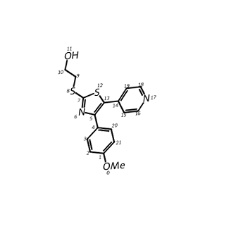 COc1ccc(-c2nc(SCCO)sc2-c2ccncc2)cc1